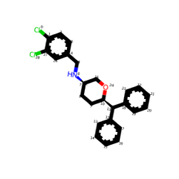 Clc1ccc(CN[C@@H]2CC[C@H](C(c3ccccc3)c3ccccc3)OC2)cc1Cl